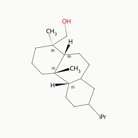 CC(C)C1CC[C@H]2C(CC[C@H]3[C@](C)(CO)CCC[C@@]23C)C1